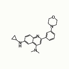 CN(C)c1cc(-c2cccc(N3CCOCC3)c2)nc2ccc(NC3CC3)cc12